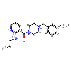 CC(C)CCNc1ncccc1C(=O)N1CCN(Cc2cccc(C(=O)O)c2)CC1